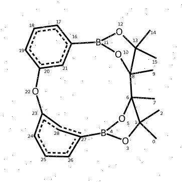 CC1(C)OB2OC1(C)C1(C)OB(OC1(C)C)c1cccc(c1)Oc1cccc2c1